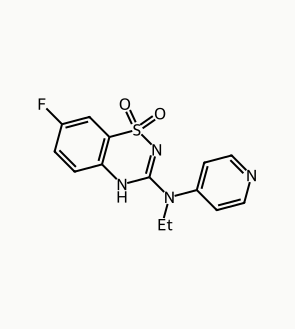 CCN(C1=NS(=O)(=O)c2cc(F)ccc2N1)c1ccncc1